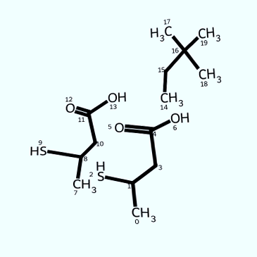 CC(S)CC(=O)O.CC(S)CC(=O)O.CCC(C)(C)C